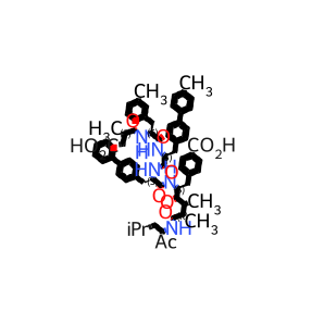 CC(=O)C(CC(C)C)NC(=O)[C@H](C)C(C)C(=O)[C@H](Cc1ccc(C(=O)O)cc1)NC(=O)[C@H](Cc1ccc(-c2ccccc2)cc1)NC(=O)[C@H](Cc1ccc(-c2ccc(C)cc2)cc1)NC(=O)[C@H](Cc1cccc(C)c1)NC(=O)[C@@H](C)CC(=O)O